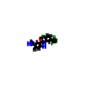 CNc1cc(C(=O)Nc2cc(C(F)(F)F)ccc2F)ccc1C